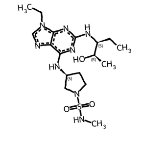 CC[C@H](Nc1nc(N[C@H]2CCN(S(=O)(=O)NC)C2)c2ncn(CC)c2n1)[C@@H](C)O